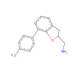 NCC1Cc2cccc(-c3ccc(C(F)(F)F)cc3)c2O1